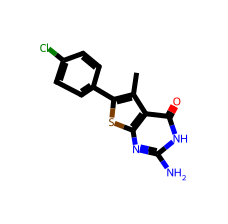 Cc1c(-c2ccc(Cl)cc2)sc2nc(N)[nH]c(=O)c12